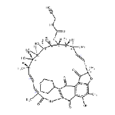 C#CCNC(=O)O[C@H]1[C@H](C)[C@H](O)[C@H](C)[C@@H](O)[C@@H](C)/C=C/C=C(/C)C(=O)NC2=C(N3CCOCC3)C(=O)c3c(c(O)c(C)c4c3C(=O)[C@@](C)(O/C=C/[C@H](OC)[C@H]1C)O4)C2=O